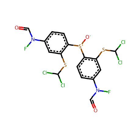 O=CN(F)c1ccc([S+]([O-])c2ccc(N(F)C=O)cc2SC(Cl)Cl)c(SC(Cl)Cl)c1